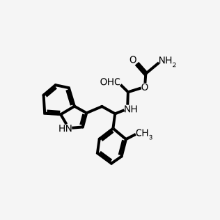 Cc1ccccc1C(Cc1c[nH]c2ccccc12)NC(C=O)OC(N)=O